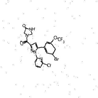 O=C1CN(C(=O)c2cc(C3=CC(Br)CC(OC(F)(F)F)=C3)n(-c3cccc(Cl)n3)n2)CN1